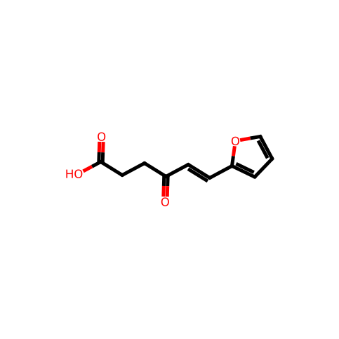 O=C(O)CCC(=O)C=Cc1ccco1